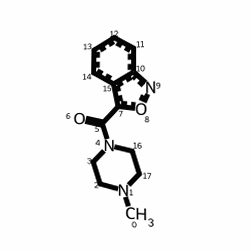 CN1CCN(C(=O)c2onc3ccccc23)CC1